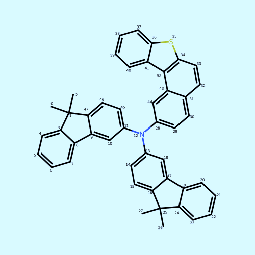 CC1(C)c2ccccc2-c2cc(N(c3ccc4c(c3)-c3ccccc3C4(C)C)c3ccc4ccc5sc6ccccc6c5c4c3)ccc21